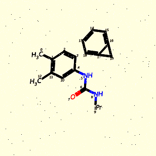 Cc1ccc(NC(=O)NC(C)C)cc1C.c1ccc2c(c1)C2